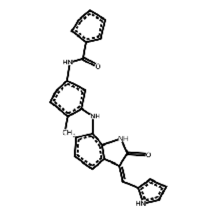 Cc1ccc(NC(=O)c2ccccc2)cc1Nc1cccc2c1NC(=O)C2=Cc1ccc[nH]1